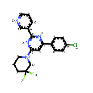 FC1(F)CCCN(c2cc(-c3ccc(Cl)cc3)nc(-c3cccnc3)n2)C1